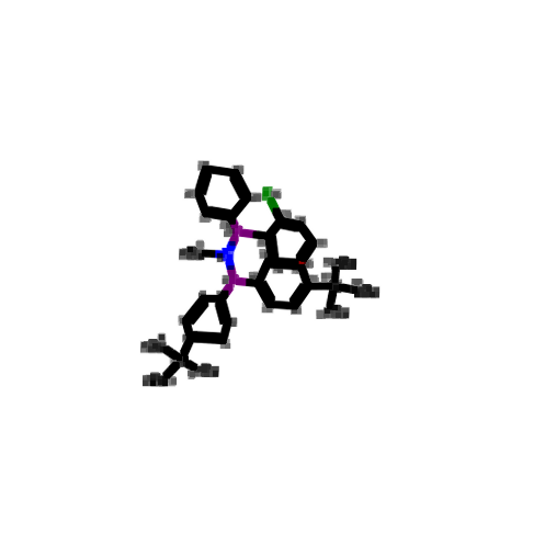 CCCCN(P(c1ccc([Si](CCCC)(CCCC)CCCC)cc1)c1ccc([Si](CCCC)(CCCC)CCCC)cc1)P(c1ccccc1)c1ccccc1F